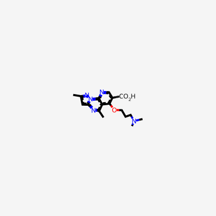 Cc1cc2nc(C)c3c(OCCCN(C)C)c(C(=O)O)cnc3n2n1